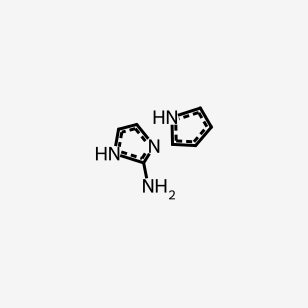 Nc1ncc[nH]1.c1cc[nH]c1